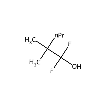 CCCC(C)(C)C(O)(F)F